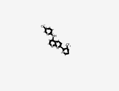 FC(F)(F)c1cccnc1-c1ccc2c(Nc3ccc(Cl)cn3)ccnc2n1